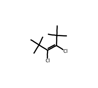 CC(C)(C)/C(Cl)=C(/Cl)C(C)(C)C